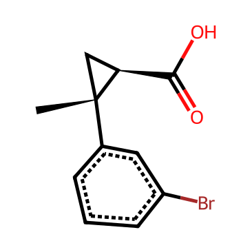 C[C@@]1(c2cccc(Br)c2)C[C@H]1C(=O)O